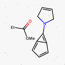 C1=CCN(c2c3cccc2-3)C1.CCC(=O)OC